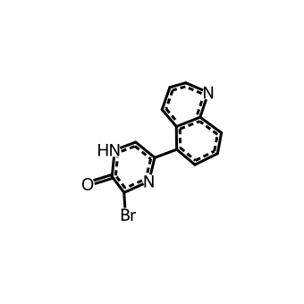 O=c1[nH]cc(-c2cccc3ncccc23)nc1Br